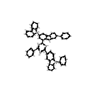 c1ccc(-c2ccc3c(c2)sc2c(-c4nc(-c5ccccc5)nc(-c5ccc6c(c5)c5ccccc5n6-c5ccccc5)n4)cc(-n4c5ccccc5c5ccccc54)cc23)cc1